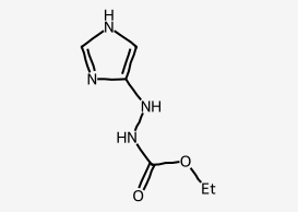 CCOC(=O)NNc1c[nH]cn1